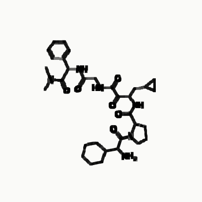 CN(C)C(=O)C(NC(=O)CNC(=O)C(=O)C(CC1CC1)NC(=O)C1CCCN1C(=O)C(N)C1CCCCC1)c1ccccc1